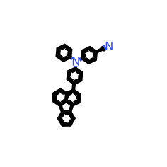 N#Cc1ccc(N(c2ccccc2)c2ccc(-c3ccc4c5c(cccc35)-c3ccccc3-4)cc2)cc1